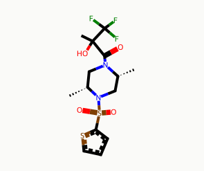 C[C@@H]1CN(S(=O)(=O)c2cccs2)[C@H](C)CN1C(=O)C(C)(O)C(F)(F)F